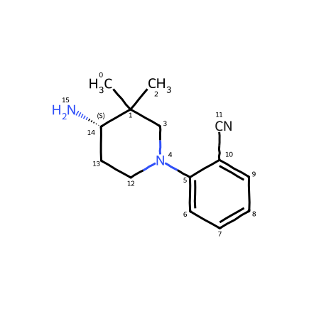 CC1(C)CN(c2ccccc2C#N)CC[C@@H]1N